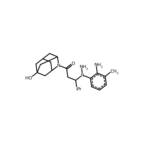 Cc1cccc(N(N)C(CC(=O)N2C3CC4CC2CC(O)(C4)C3)C(C)C)c1N